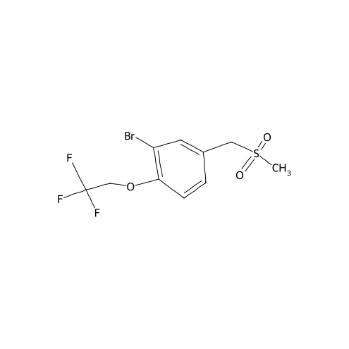 CS(=O)(=O)Cc1ccc(OCC(F)(F)F)c(Br)c1